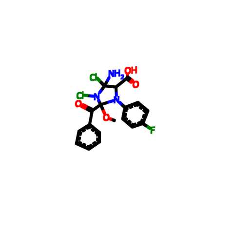 COC1(C(=O)c2ccccc2)N(c2ccc(F)cc2)C(C(=O)O)C(N)(Cl)N1Cl